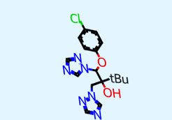 CC(C)(C)C(O)(Cn1cncn1)C(Oc1ccc(Cl)cc1)n1cncn1